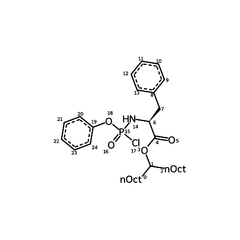 CCCCCCCCC(CCCCCCCC)OC(=O)[C@H](Cc1ccccc1)NP(=O)(Cl)Oc1ccccc1